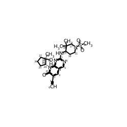 C#Cc1cc2cnc(NC3CCN(S(C)(=O)=O)CC3(C)C)nc2n([C@@H]2CCC[C@@]2(C)O)c1=O